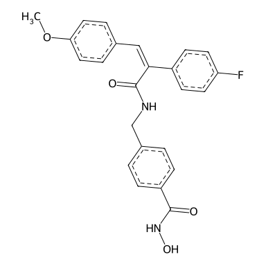 COc1ccc(C=C(C(=O)NCc2ccc(C(=O)NO)cc2)c2ccc(F)cc2)cc1